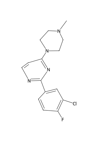 CN1CCN(c2ccnc(-c3ccc(F)c(Cl)c3)n2)CC1